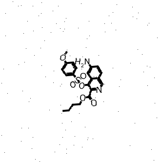 CCCCOC(=O)c1ncc2ccc(N)cc2c1OS(=O)(=O)c1ccc(OC)cc1